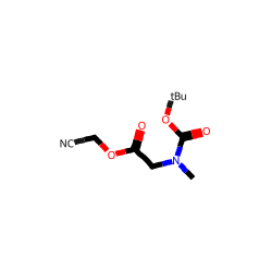 CN(CC(=O)OCC#N)C(=O)OC(C)(C)C